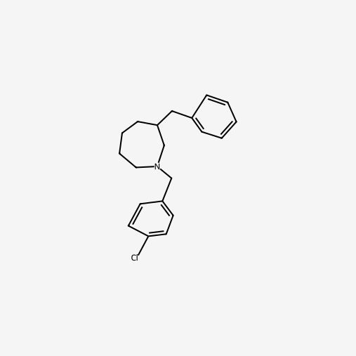 Clc1ccc(CN2CCCCC(Cc3ccccc3)C2)cc1